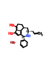 Br.C=CC[C@H]1CC2CCC(O)=C3C(O)=CC(=C32)[C@@H](c2ccccc2)N1